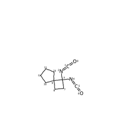 O=C=NC1(N=C=O)CCC12CCCC2